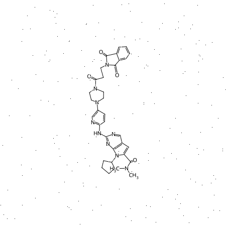 CN(C)C(=O)c1cc2cnc(Nc3ccc(N4CCN(C(=O)CCN5C(=O)c6ccccc6C5=O)CC4)cn3)nc2n1C1CCCC1